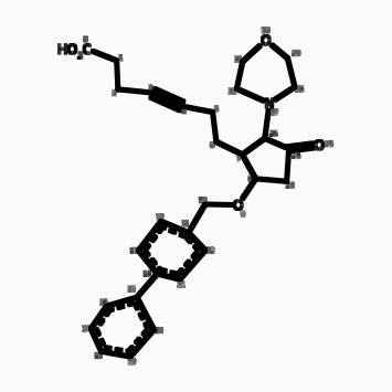 O=C(O)CCC#CCCC1C(OCc2ccc(-c3ccccc3)cc2)CC(=O)C1N1CCOCC1